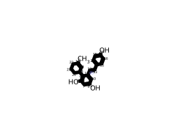 CC1=CC(c2c(O)cc(O)cc2/C=C/c2ccc(O)cc2)CCC1